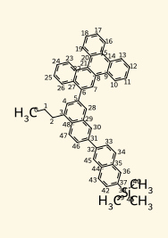 CCCc1cc(-c2cc3c4ccccc4c4ccccc4c3c3ccccc23)cc2cc(-c3ccc4cc([Si](C)(C)C)ccc4c3)ccc12